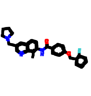 Cc1c(NC(=O)c2ccc(OCc3ccccc3F)cc2)ccc2cc(CN3CCCC3)cnc12